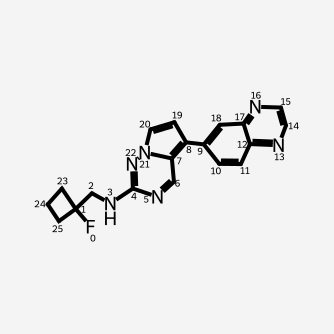 FC1(CNc2ncc3c(-c4ccc5nccnc5c4)ccn3n2)CCC1